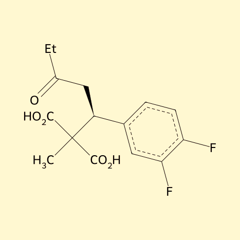 CCC(=O)C[C@@H](c1ccc(F)c(F)c1)C(C)(C(=O)O)C(=O)O